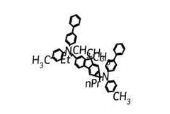 CCCC1(N(c2ccc(C)cc2)c2ccc(-c3ccccc3)cc2)c2cc3c(cc21)C(C)(C)c1cc(C(C)(CC)N(c2ccc(C)cc2)c2ccc(-c4ccccc4)cc2)ccc1-3